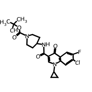 CC(C)(C)OC(=O)N1CCC(NC(=O)c2cn(C3CC3)c3cc(Cl)c(F)cc3c2=O)CC1